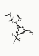 COB(OC(C)(C)C(C)C)c1cc(N)cc(C(F)(F)F)c1